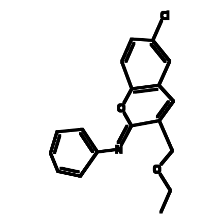 CCOCc1cc2cc(Cl)ccc2oc1=Nc1ccccc1